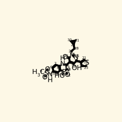 CS(=O)(=O)Nc1ccc2c(c1)P(=O)(O)N=C(c1c(O)c(C3=CSCC3)nn(CCC3CC3)c1=O)N2